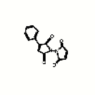 O=C1C=CC(=O)N1N1C(=O)C=C(c2ccccc2)C1=O